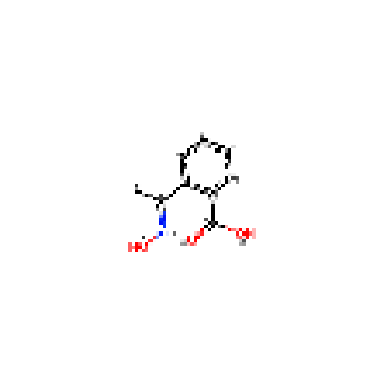 CC(=NO)c1ccccc1C(=O)O